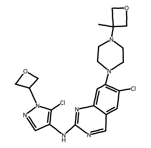 CC1(N2CCN(c3cc4nc(Nc5cnn(C6COC6)c5Cl)ncc4cc3Cl)CC2)COC1